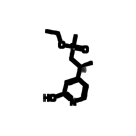 CCOP(C)(=O)C[C@@H](C)c1ccnc(O)c1